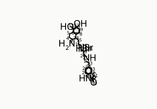 Br.Br.NC1CCc2c(ccc(O)c2O)C1CCCCCCNCCc1ccc2[nH]c(=O)sc2c1